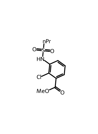 CCCS(=O)(=O)Nc1cccc(C(=O)OC)c1Cl